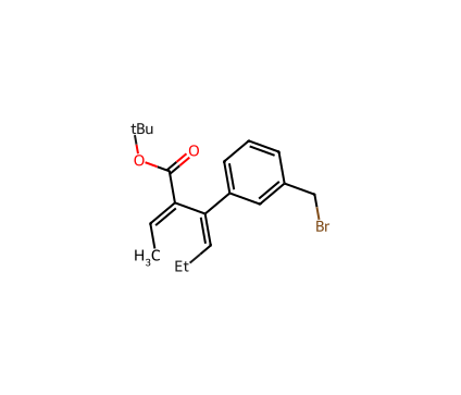 C/C=C(C(=O)OC(C)(C)C)\C(=C/CC)c1cccc(CBr)c1